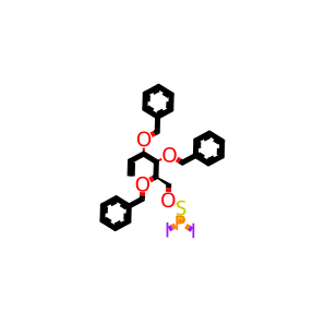 C=C[C@H](OCc1ccccc1)[C@H](OCc1ccccc1)[C@@H](COSP(I)I)OCc1ccccc1